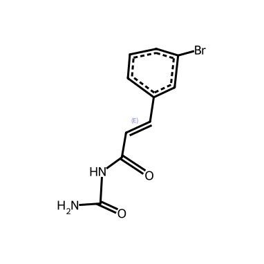 NC(=O)NC(=O)/C=C/c1cccc(Br)c1